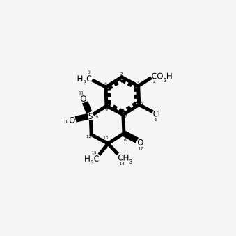 Cc1cc(C(=O)O)c(Cl)c2c1S(=O)(=O)CC(C)(C)C2=O